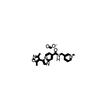 Cc1noc(C)c1-c1cnc2cc(C(=O)NCc3ccc[n+](C)c3)ccn12.O=C[O-]